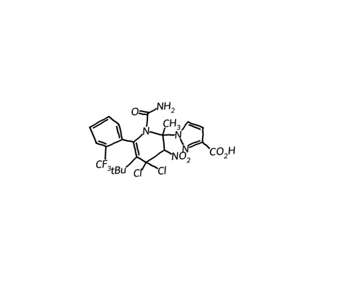 CC(C)(C)C1=C(c2ccccc2C(F)(F)F)N(C(N)=O)C(C)(n2ccc(C(=O)O)n2)C([N+](=O)[O-])C1(Cl)Cl